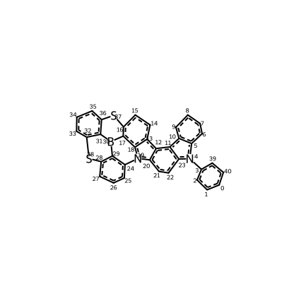 c1ccc(-n2c3ccccc3c3c4c5ccc6c7c5n(c4ccc32)-c2cccc3c2B7c2c(cccc2S6)S3)cc1